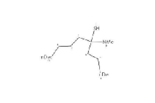 CCCCCCCCCCCCCC(S)(CCCCCCCCCCCC)NC